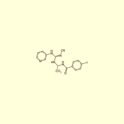 N#C/N=C(\Nc1cccnc1)NC(NC(=O)c1ccc(I)cc1)C(Cl)(Cl)Cl